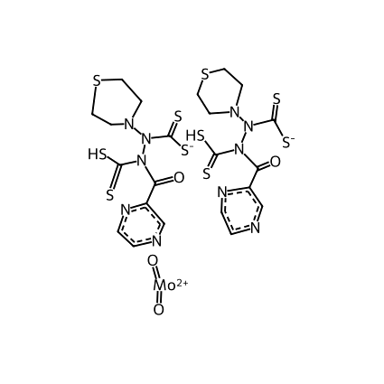 O=C(c1cnccn1)N(C(=S)S)N(C(=S)[S-])N1CCSCC1.O=C(c1cnccn1)N(C(=S)S)N(C(=S)[S-])N1CCSCC1.[O]=[Mo+2]=[O]